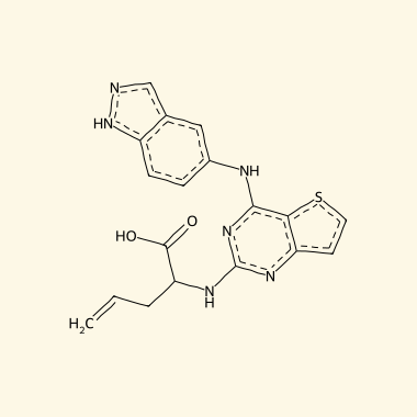 C=CCC(Nc1nc(Nc2ccc3[nH]ncc3c2)c2sccc2n1)C(=O)O